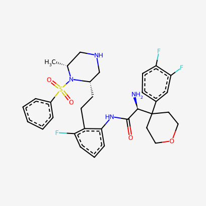 C[C@@H]1CNC[C@H](CCc2c(F)cccc2NC(=O)[C@@H](N)C2(c3ccc(F)c(F)c3)CCOCC2)N1S(=O)(=O)c1ccccc1